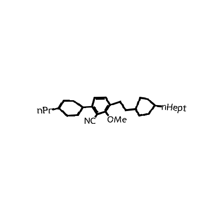 CCCCCCCC1CCC(CCc2ccc(C3CCC(CCC)CC3)c(C#N)c2OC)CC1